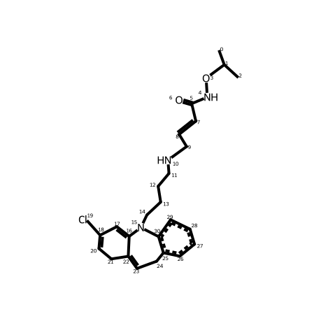 CC(C)ONC(=O)/C=C/CNCCCCN1C2=CC(Cl)=CCC2=CCc2ccccc21